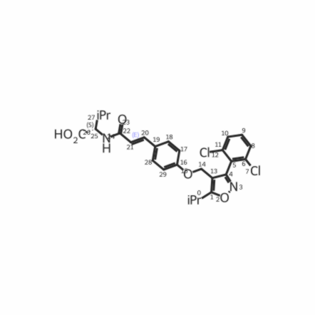 CC(C)c1onc(-c2c(Cl)cccc2Cl)c1COc1ccc(/C=C/C(=O)N[C@H](C(=O)O)C(C)C)cc1